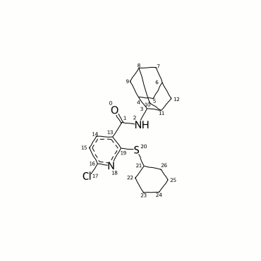 O=C(NC1C2CC3CC(C2)CC1C3)c1ccc(Cl)nc1SC1CCCCC1